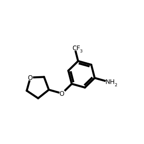 Nc1cc(OC2CCOC2)cc(C(F)(F)F)c1